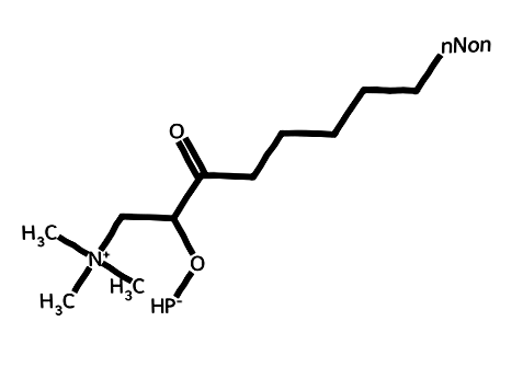 CCCCCCCCCCCCCCC(=O)C(C[N+](C)(C)C)O[PH-]